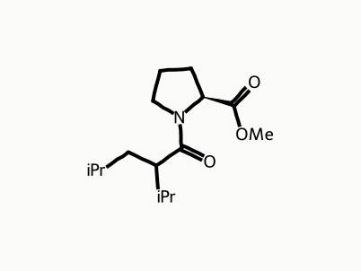 COC(=O)[C@@H]1CCCN1C(=O)C(CC(C)C)C(C)C